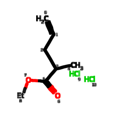 C=CCC(C)C(=O)OCC.Cl.Cl